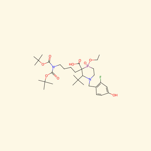 CCOP1(=O)CCN(Cc2ccc(O)cc2F)C(C(C)(C)C)C1(CCCCN(C(=O)OC(C)(C)C)C(=O)OC(C)(C)C)C(=O)O